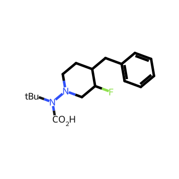 CC(C)(C)N(C(=O)O)N1CCC(Cc2ccccc2)C(F)C1